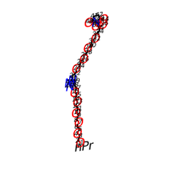 CCCOCCOCCOCCOCCOCCOCc1cn(CCOCCOCCOCCOCCC(=O)ON2C(=O)CCC2=O)nn1